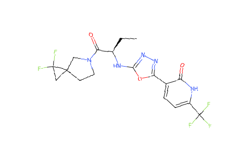 CC[C@@H](Nc1nnc(-c2ccc(C(F)(F)F)[nH]c2=O)o1)C(=O)N1CCC2(C1)CC2(F)F